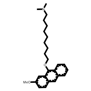 COc1ccc2cc3ccccc3c(OCCCCCCCCCN(C)C)c2c1